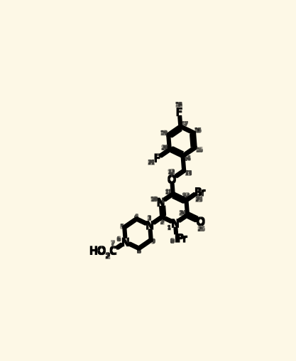 CC(C)n1c(N2CCN(C(=O)O)CC2)nc(OCc2ccc(F)cc2F)c(Br)c1=O